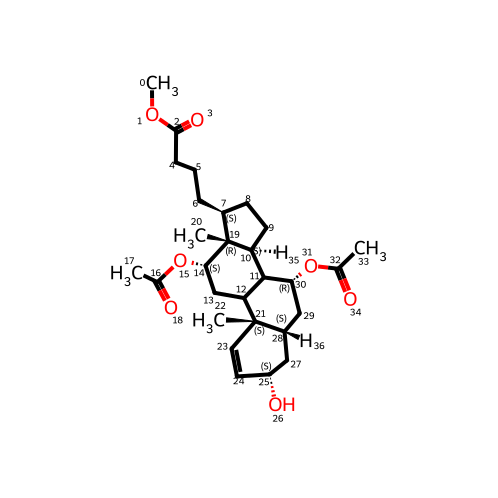 COC(=O)CCC[C@H]1CC[C@H]2C3C(C[C@H](OC(C)=O)[C@]12C)[C@@]1(C)C=C[C@@H](O)C[C@H]1C[C@H]3OC(C)=O